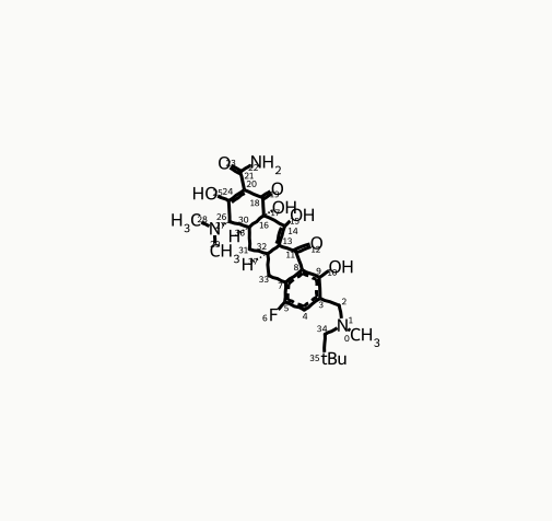 CN(Cc1cc(F)c2c(c1O)C(=O)C1=C(O)[C@]3(O)C(=O)C(C(N)=O)=C(O)[C@@H](N(C)C)[C@@H]3C[C@@H]1C2)CC(C)(C)C